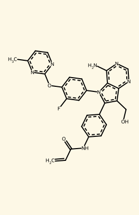 C=CC(=O)Nc1ccc(-c2c(CO)c3ncnc(N)c3n2-c2ccc(Oc3nccc(C)n3)c(F)c2)cc1